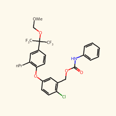 CCCc1cc(C(OCOC)(C(F)(F)F)C(F)(F)F)ccc1Oc1ccc(Cl)c(COC(=O)Nc2ccccc2)c1